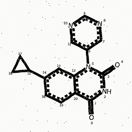 O=c1[nH]c(=O)n(-c2cncnc2)c2cc(C3CC3)ccc12